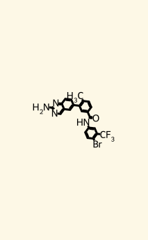 Cc1ccc(C(=O)Nc2ccc(Br)c(C(F)(F)F)c2)cc1-c1ccc2nc(N)ncc2c1